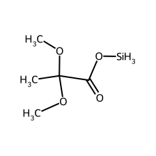 COC(C)(OC)C(=O)O[SiH3]